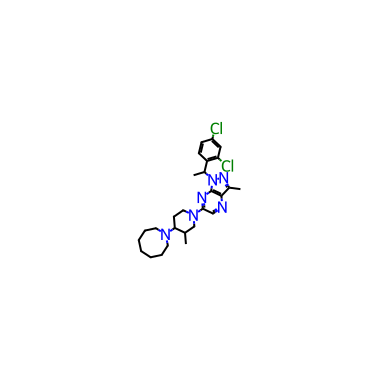 Cc1nn(C(C)c2ccc(Cl)cc2Cl)c2nc(N3CCC(N4CCCCCCC4)C(C)C3)cnc12